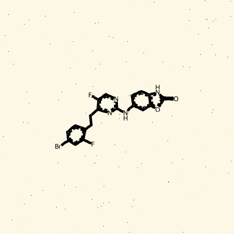 O=c1[nH]c2ccc(Nc3ncc(F)c(CCc4ccc(Br)cc4F)n3)cc2o1